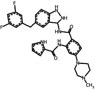 CN1CCN(c2ccc(C(=O)NC3NNc4ccc(Cc5cc(F)cc(F)c5)cc43)c(NC(=O)c3ccc[nH]3)c2)CC1